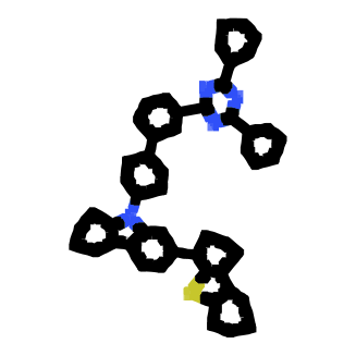 c1ccc(-c2nc(-c3ccccc3)nc(-c3cccc(-c4ccc(-n5c6ccccc6c6ccc(-c7cccc8c7sc7ccccc78)cc65)cc4)c3)n2)cc1